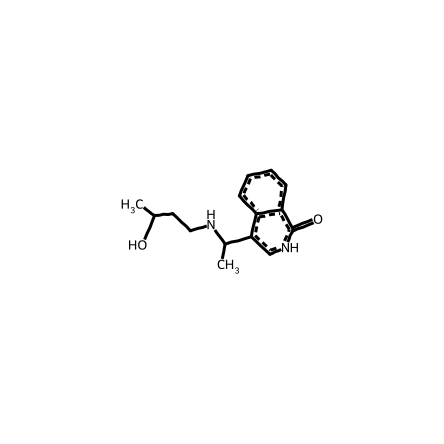 CC(O)CCNC(C)c1c[nH]c(=O)c2ccccc12